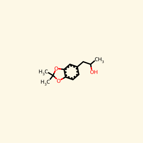 CC(O)Cc1ccc2c(c1)OC(C)(C)O2